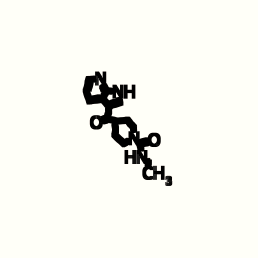 CCNC(=O)N1CCC(C(=O)c2c[nH]c3ncccc23)CC1